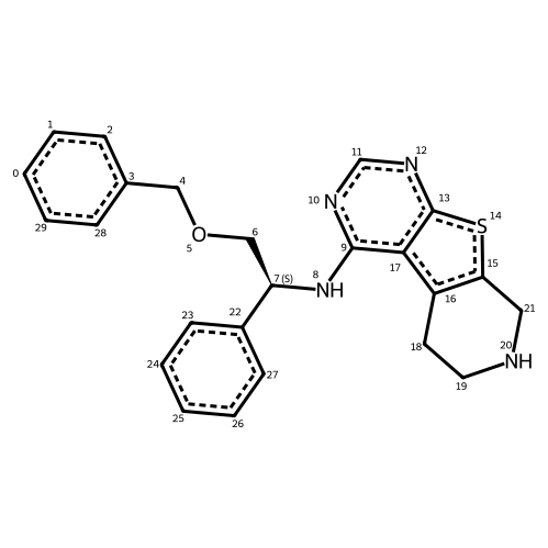 c1ccc(COC[C@@H](Nc2ncnc3sc4c(c23)CCNC4)c2ccccc2)cc1